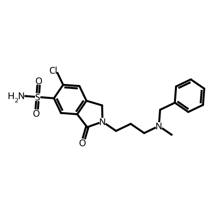 CN(CCCN1Cc2cc(Cl)c(S(N)(=O)=O)cc2C1=O)Cc1ccccc1